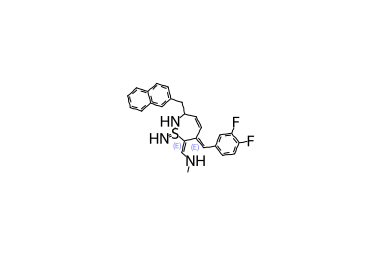 CN/C=C1\C(=C\c2ccc(F)c(F)c2)C=CC(Cc2ccc3ccccc3c2)NS1=N